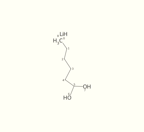 CCCCCC(O)O.[LiH]